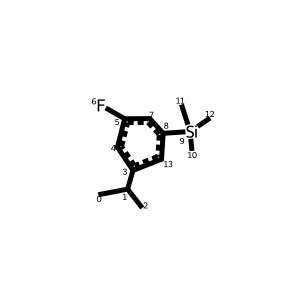 CC(C)c1cc(F)cc([Si](C)(C)C)c1